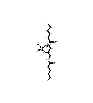 O=C(CCCCO)NCC(CNC(=O)CCCCO)OP(=O)(O)O